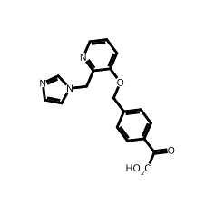 O=C(O)C(=O)c1ccc(COc2cccnc2Cn2ccnc2)cc1